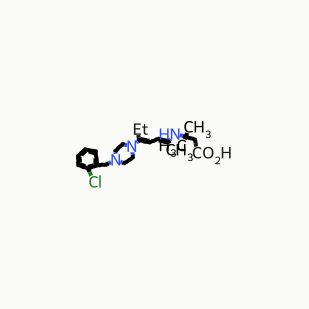 CC/C(=C\C=C(/C)NC(C)(C)CC(=O)O)N1CCN(Cc2ccccc2Cl)CC1